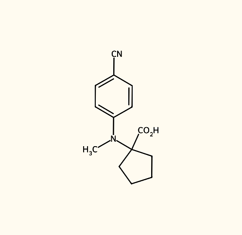 CN(c1ccc(C#N)cc1)C1(C(=O)O)CCCC1